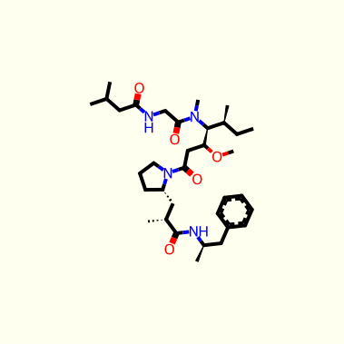 CC[C@H](C)[C@@H](C(CC(=O)N1CCC[C@H]1C[C@@H](C)C(=O)N[C@H](C)Cc1ccccc1)OC)N(C)C(=O)CNC(=O)CC(C)C